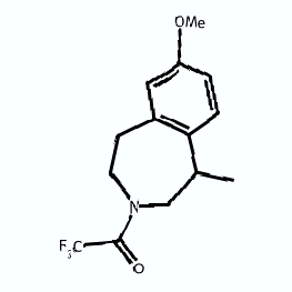 COc1ccc2c(c1)CCN(C(=O)C(F)(F)F)CC2C